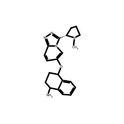 CN1CCC[C@H]1c1nnc2ccc(OC3CCC(N)c4ccccc43)cn12